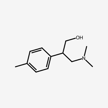 Cc1ccc(C(CO)CN(C)C)cc1